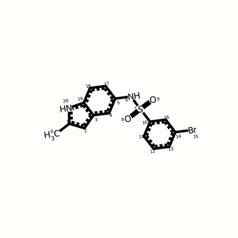 Cc1cc2cc(NS(=O)(=O)c3cccc(Br)c3)ccc2[nH]1